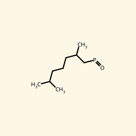 CC(C)CCCC(C)CP=O